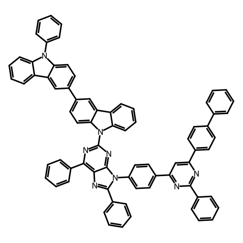 c1ccc(-c2ccc(-c3cc(-c4ccc(-n5c(-c6ccccc6)nc6c(-c7ccccc7)nc(-n7c8ccccc8c8cc(-c9ccc%10c(c9)c9ccccc9n%10-c9ccccc9)ccc87)nc65)cc4)nc(-c4ccccc4)n3)cc2)cc1